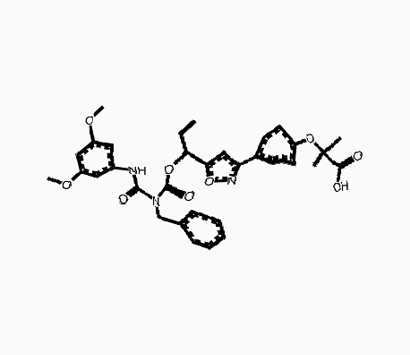 CCC(OC(=O)N(Cc1ccccc1)C(=O)Nc1cc(OC)cc(OC)c1)c1cc(-c2ccc(OC(C)(C)C(=O)O)cc2)no1